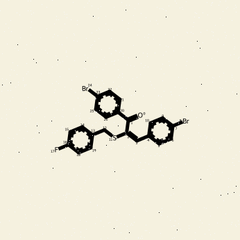 O=C(/C(=C\c1ccc(Br)cc1)SCc1ccc(F)cc1)c1ccc(Br)cc1